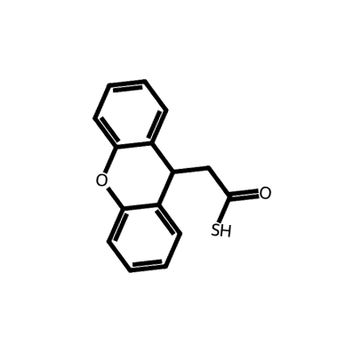 O=C(S)CC1c2ccccc2Oc2ccccc21